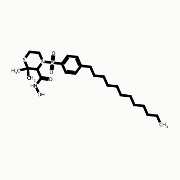 CCCCCCCCCCCCc1ccc(S(=O)(=O)N2CCSC(C)(C)C2C(=O)NO)cc1